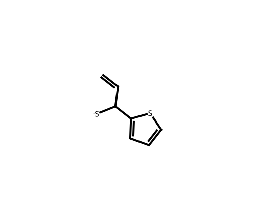 C=CC([S])c1cccs1